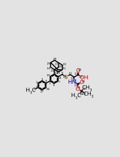 Cc1ccc(-c2ccc(CSCC(NC(=O)OC(C)(C)C)C(=O)O)c(C34CC5CC(CC(C5)C3)C4)c2)cc1